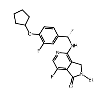 CCN1Cc2c(N[C@@H](C)c3ccc(OC4CCCC4)c(F)c3)ncc(F)c2C1=O